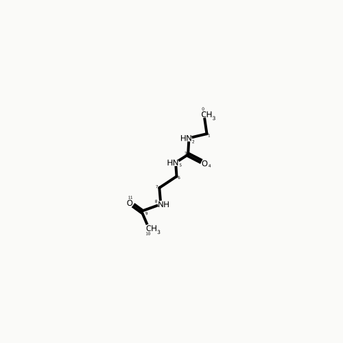 CCNC(=O)NCCNC(C)=O